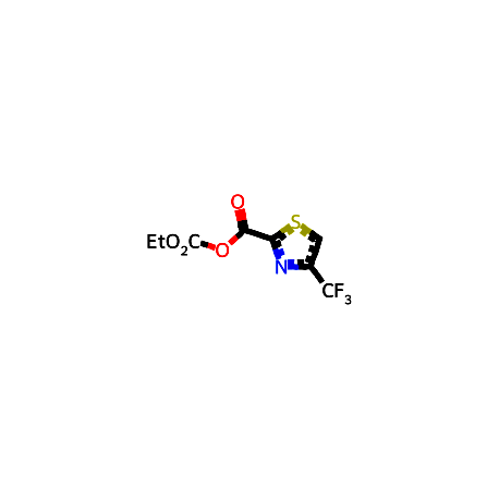 CCOC(=O)OC(=O)c1nc(C(F)(F)F)cs1